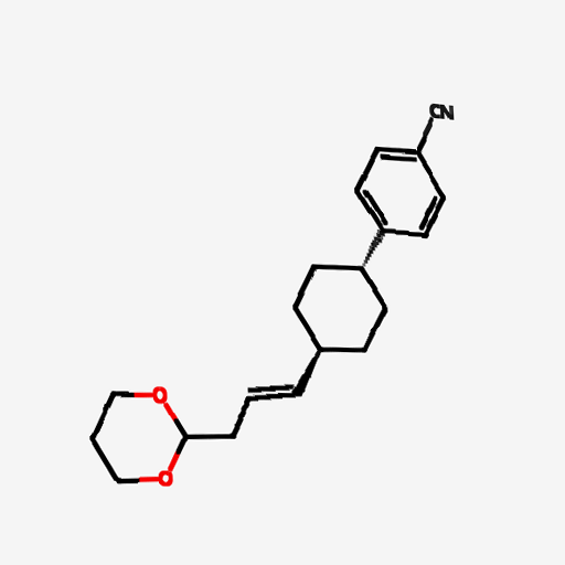 N#Cc1ccc([C@H]2CC[C@H](C=CCC3OCCCO3)CC2)cc1